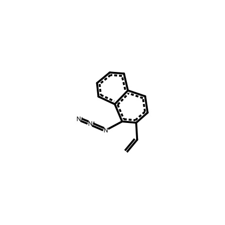 C=Cc1ccc2ccccc2c1N=[N+]=[N-]